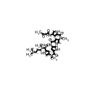 CC1OC1C(=O)Nc1c[nH]c(C(=O)N(C)c2c[nH]c(C(=O)N(C)c3c[nH]c(C(=O)N(C)c4c[nH]c(C(=O)N(C)CCCN(C)C)c4)c3)c2)c1